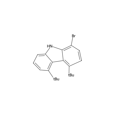 CC(C)(C)c1cccc2[nH]c3c(Br)ccc(C(C)(C)C)c3c12